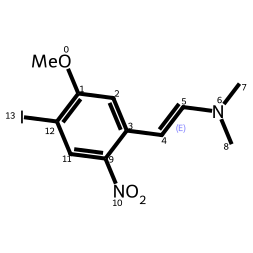 COc1cc(/C=C/N(C)C)c([N+](=O)[O-])cc1I